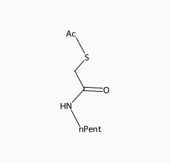 CCCCCNC(=O)CSC(C)=O